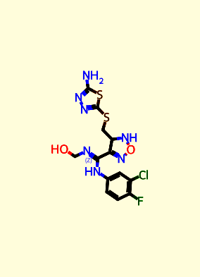 Nc1nnc(SCC2NON=C2/C(=N/CO)Nc2ccc(F)c(Cl)c2)s1